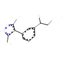 Cc1n[nH]c(C)c1-c1cccc(C(N)CC(=O)O)c1